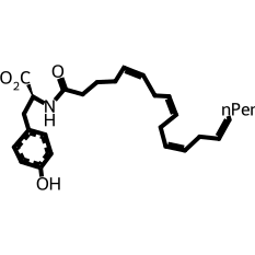 CCCCC/C=C\C/C=C\C/C=C\C/C=C\CCCC(=O)N[C@@H](Cc1ccc(O)cc1)C(=O)O